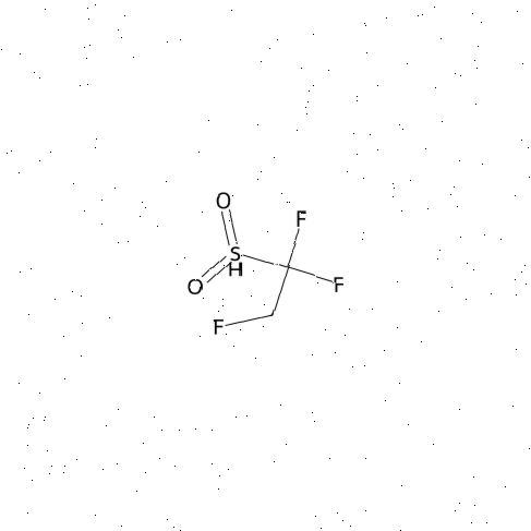 O=[SH](=O)C(F)(F)CF